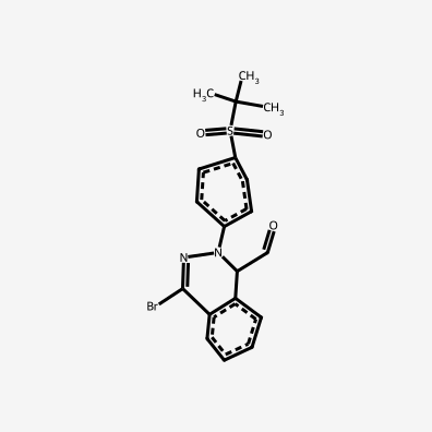 CC(C)(C)S(=O)(=O)c1ccc(N2N=C(Br)c3ccccc3C2C=O)cc1